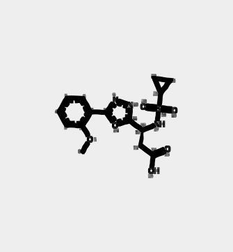 COc1ccccc1-c1nnc([C@H](CC(=O)O)NS(=O)(=O)C2CC2)o1